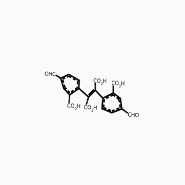 O=Cc1ccc(/C(C(=O)O)=C(\C(=O)O)c2ccc(C=O)cc2C(=O)O)c(C(=O)O)c1